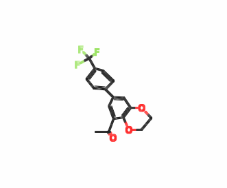 CC(=O)c1cc(-c2ccc(C(F)(F)F)cc2)cc2c1OCCO2